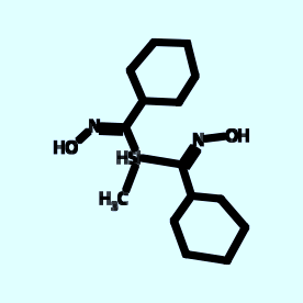 C[SiH](C(=NO)C1CCCCC1)C(=NO)C1CCCCC1